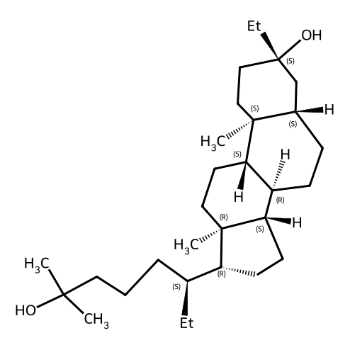 CC[C@@H](CCCC(C)(C)O)[C@H]1CC[C@H]2[C@@H]3CC[C@H]4C[C@](O)(CC)CC[C@]4(C)[C@H]3CC[C@]12C